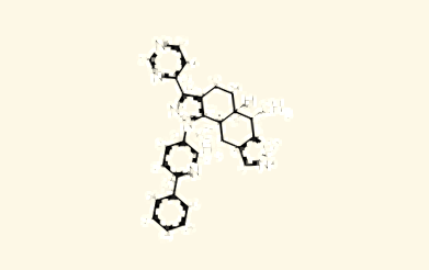 C[C@H]1c2oncc2C[C@@]2(C)c3c(c(-c4ccncn4)nn3-c3ccc(-c4ccccc4)nc3)CC[C@H]12